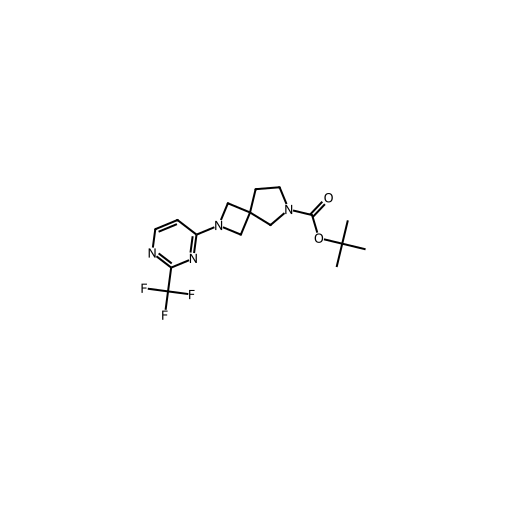 CC(C)(C)OC(=O)N1CCC2(C1)CN(c1ccnc(C(F)(F)F)n1)C2